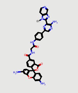 CCn1c(-c2nc(-c3ccc(NC(=O)CNC(=O)c4ccc5c(c4)C(=O)OC54c5ccc(N)cc5Oc5cc(N)ccc54)cc3)cnc2N)nc2cnccc21